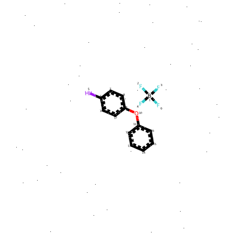 F[B-](F)(F)F.[IH+]c1ccc(Oc2ccccc2)cc1